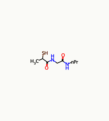 CCCNC(=O)CNC(=O)C(C)S